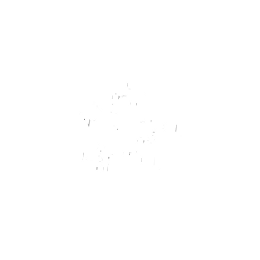 CC(=O)O[C@@H]1[C@@H](OC(C)=O)[C@H](OC(C)=O)CS[C@H]1Oc1cccnc1.CS(=O)(=O)O